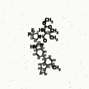 COC(=O)N[C@H](C(=O)N1CC(F)(F)C[C@H]1c1nc2cc(-c3ccc(C)c4c3CC3CCC43)ccc2[nH]1)C(C)C